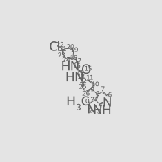 Cc1n[nH]c2nccc(-c3ccc(NC(=O)NCc4ccc(Cl)cc4)cc3)c12